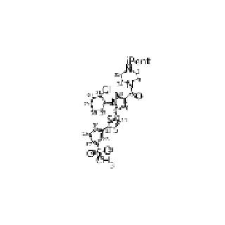 CCCC(C)N1CCN(C(=O)c2cc(-c3ccc(-c4cccc(S(C)(=O)=O)c4)s3)n(-c3ccccc3Cl)n2)CC1